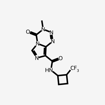 Cn1nnc2c(C(=O)NC3CCC3C(F)(F)F)ncn2c1=O